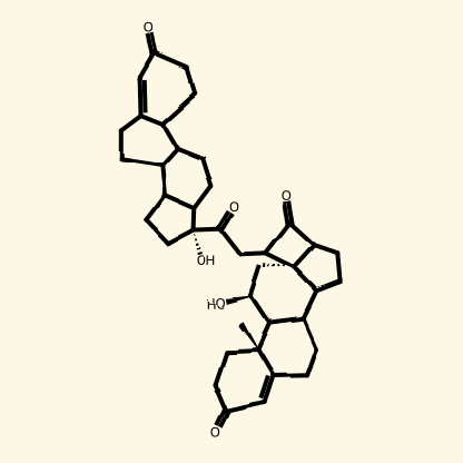 C[C@]12CCC(=O)C=C1CCC1C3CCC4C(=O)C(CC(=O)[C@@]5(O)CCC6C7CCC8=CC(=O)CCC8C7CCC65)[C@@]43C[C@H](O)C12